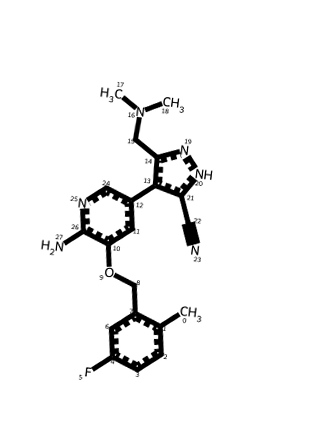 Cc1ccc(F)cc1COc1cc(-c2c(CN(C)C)n[nH]c2C#N)cnc1N